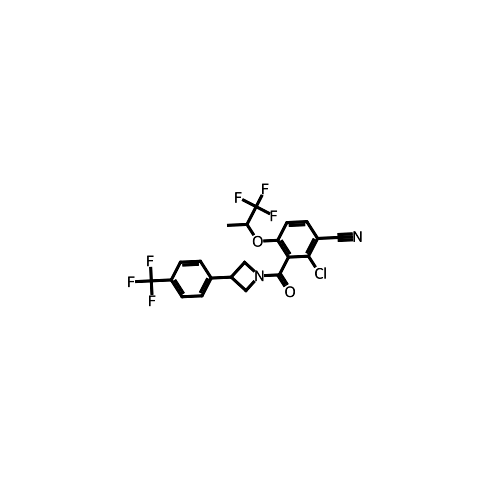 CC(Oc1ccc(C#N)c(Cl)c1C(=O)N1CC(c2ccc(C(F)(F)F)cc2)C1)C(F)(F)F